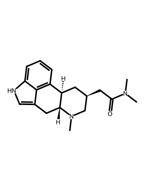 CN(C)C(=O)C[C@@H]1C[C@@H]2c3cccc4[nH]cc(c34)C[C@H]2N(C)C1